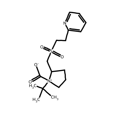 CC(C)(C)[N+]1(C(=O)[O-])CCCC1CS(=O)(=O)CCc1ccccn1